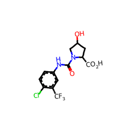 O=C(O)C1CC(O)CN1C(=O)Nc1ccc(Cl)c(C(F)(F)F)c1